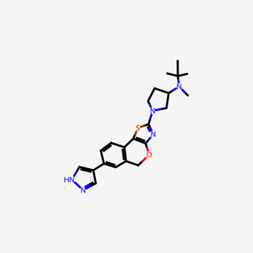 CN(C1CCN(c2nc3c(s2)-c2ccc(-c4cn[nH]c4)cc2CO3)C1)C(C)(C)C